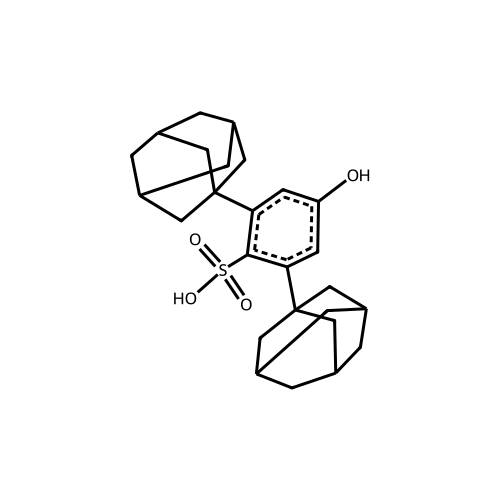 O=S(=O)(O)c1c(C23CC4CC(CC(C4)C2)C3)cc(O)cc1C12CC3CC(CC(C3)C1)C2